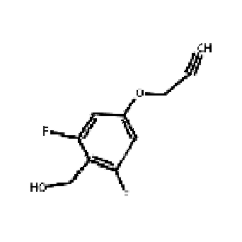 C#CCOc1cc(F)c(CO)c(F)c1